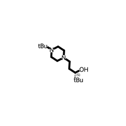 CC(C)(C)[C@@H](O)CCN1CCN(C(C)(C)C)CC1